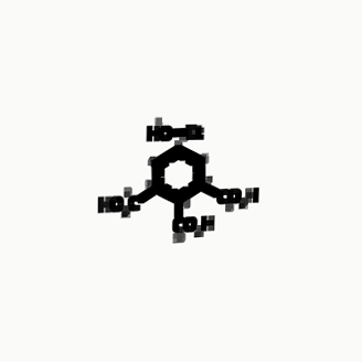 CCO.O=C(O)c1cccc(C(=O)O)c1C(=O)O